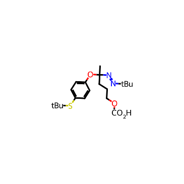 CC(C)(C)N=NC(C)(CCCOC(=O)O)Oc1ccc(SC(C)(C)C)cc1